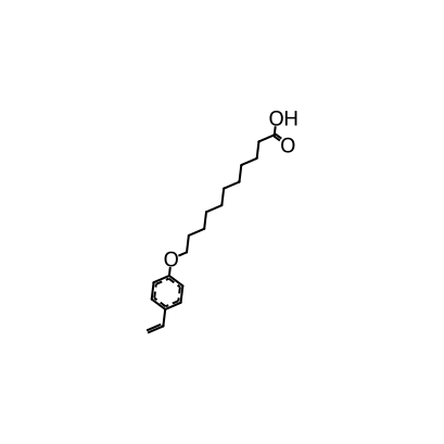 C=Cc1ccc(OCCCCCCCCCCC(=O)O)cc1